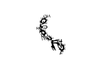 N#Cc1cc(-c2ccnc(Nc3ccc(NC(=O)CN4CCC(O)CC4)nc3)n2)cnc1N1CC[C@H](F)C1